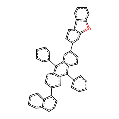 c1ccc(-c2c3ccc(-c4cccc5ccccc45)cc3c(-c3ccccc3)c3ccc(-c4ccc5c(c4)oc4ccccc45)cc23)cc1